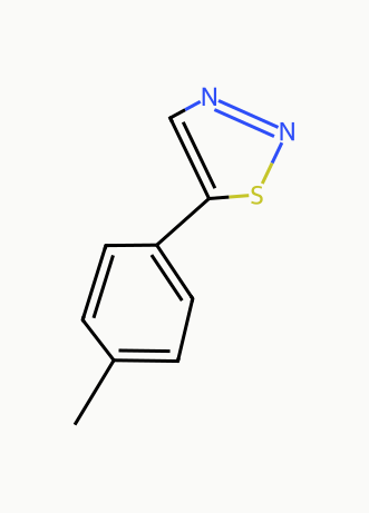 Cc1ccc(-c2cnns2)cc1